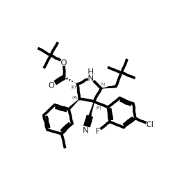 Cc1cccc([C@H]2[C@H](C(=O)OC(C)(C)C)N[C@@H](CC(C)(C)C)[C@]2(C#N)c2ccc(Cl)cc2F)c1